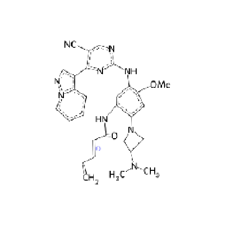 C=C/C=C/C(=O)Nc1cc(Nc2ncc(C#N)c(-c3cnn4ccccc34)n2)c(OC)cc1N1CC(N(C)C)C1